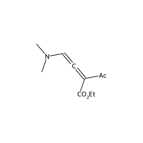 CCOC(=O)C(=C=CN(C)C)C(C)=O